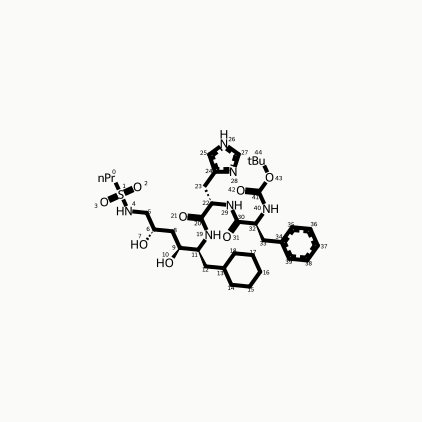 CCCS(=O)(=O)NC[C@@H](O)C[C@H](O)[C@H](CC1CCCCC1)NC(=O)[C@H](Cc1c[nH]cn1)NC(=O)[C@H](Cc1ccccc1)NC(=O)OC(C)(C)C